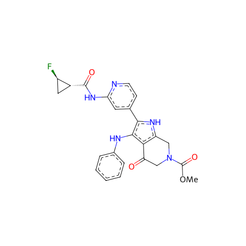 COC(=O)N1CC(=O)c2c([nH]c(-c3ccnc(NC(=O)[C@@H]4C[C@H]4F)c3)c2Nc2ccccc2)C1